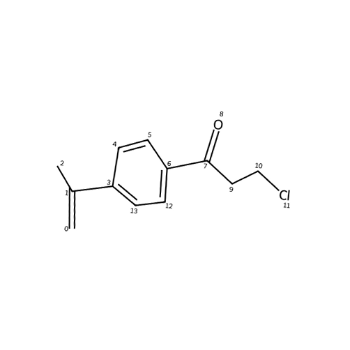 C=C(C)c1ccc(C(=O)CCCl)cc1